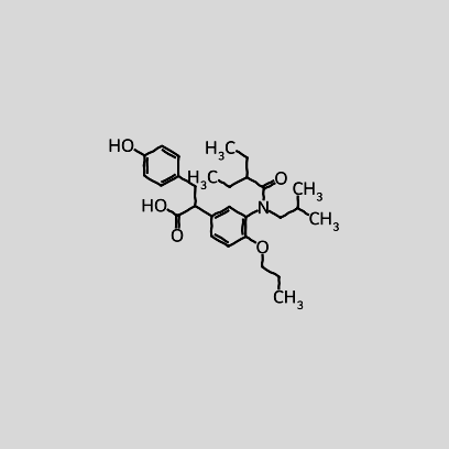 CCCOc1ccc(C(Cc2ccc(O)cc2)C(=O)O)cc1N(CC(C)C)C(=O)C(CC)CC